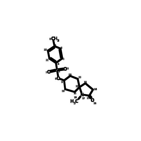 Cc1ccc(S(=O)(=O)OC2CCC3(CCC(=O)N3C)CC2)cc1